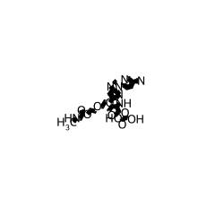 CNCC(=O)OCCOCCOc1cc2ncn(-c3ccc(C#N)cn3)c2nc1NC1CCOCC1.O=C(O)C(=O)O